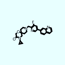 O=C1COC2(CCN(Cc3ncc(-c4ccc5cccnc5c4)cc3F)CC2)CN1C1CC1